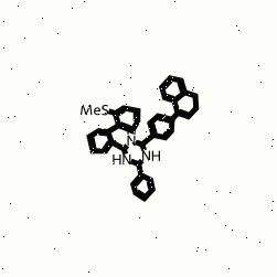 CSc1ccccc1-c1ccccc1C1NC(c2ccccc2)NC(c2ccc(C3=CCCc4ccccc43)cc2)N1